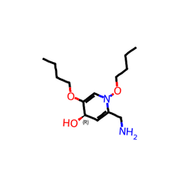 CCCCOC1=CN(OCCCC)C(CN)=C[C@H]1O